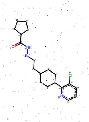 O=C(NNCCC1CCC(c2ncccc2Cl)CC1)C1CCCC1